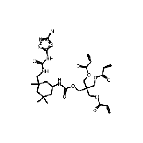 C=CC(=O)OCC(COC(=O)C=C)(COC(=O)C=C)COC(=O)NC1CC(C)(C)CC(C)(CNC(=O)Nc2nnc(S)s2)C1